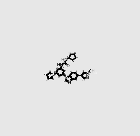 Cn1cc(-c2ccc3c(c2)ncn3-c2cc(NC(=O)NC3CCCC3)cc(-n3cccc3)c2)cn1